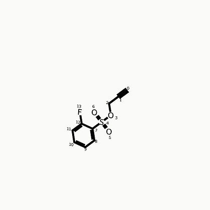 C#CCOS(=O)(=O)c1ccccc1F